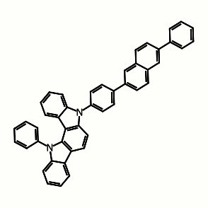 c1ccc(-c2ccc3cc(-c4ccc(-n5c6ccccc6c6c5ccc5c7ccccc7n(-c7ccccc7)c56)cc4)ccc3c2)cc1